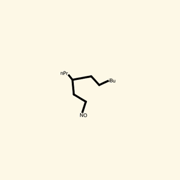 CCCC(CCN=O)CCC(C)CC